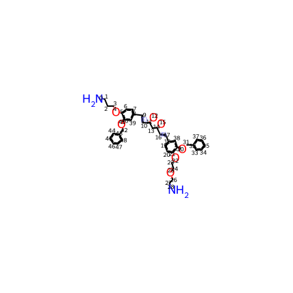 NCCCOc1ccc(/C=C/C(=O)CC(=O)/C=C/c2ccc(OCCOCCN)c(OCc3ccccc3)c2)cc1OCc1ccccc1